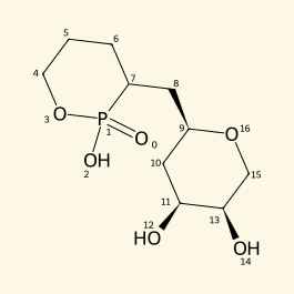 O=P1(O)OCCCC1C[C@@H]1C[C@H](O)[C@H](O)CO1